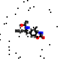 CCC(=O)NC(=Cc1cc(C)c2[nH]c(=O)oc2c1)C(=O)O